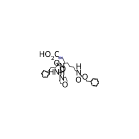 O=C(O)/C=C/C(CCCCNC(=O)OCc1ccccc1)NC(=O)C(Cc1ccccc1)NC(=O)N1CCOCC1